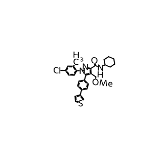 COCc1c(C(=O)NC2CCCCC2)nn(-c2ccc(Cl)cc2C)c1-c1ccc(-c2ccsc2)cc1